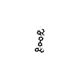 Cc1c(/C=C\C=N)c2ccccc2n1-c1ccc(-c2ccc(-n3c4ccccc4c4cccnc43)cc2)cc1